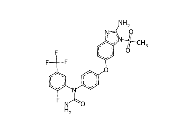 CS(=O)(=O)n1c(N)nc2ccc(Oc3ccc(N(C(N)=O)c4cc(C(F)(F)F)ccc4F)cc3)cc21